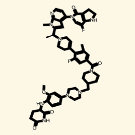 COc1cc(N2CCN(CC3CCN(C(=O)c4cc(C)c(C5=CCN([C@@H](C)c6cc7c(-n8cc(F)c9c(c8=O)CCN9)ccnc7n6C)CC5)c(F)c4)CC3)CC2)ccc1NC1CCC(=O)NC1=O